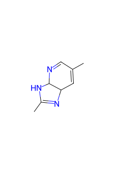 CC1=CC2N=C(C)NC2N=C1